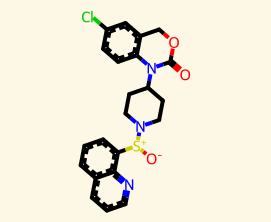 O=C1OCc2cc(Cl)ccc2N1C1CCN([S+]([O-])c2cccc3cccnc23)CC1